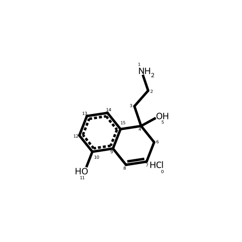 Cl.NCCC1(O)CC=Cc2c(O)cccc21